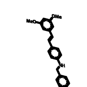 COc1cc(C=Cc2ccc(NCc3ccccc3)cc2)cc(OC)c1